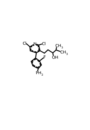 CC(C)C(O)CCc1c(-c2ccc(P)cc2F)cc(Cl)nc1Cl